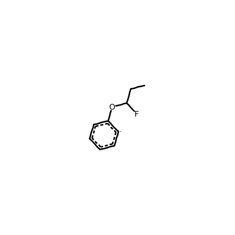 CCC(F)Oc1[c]cccc1